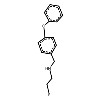 FCCNCc1ccc(Oc2ccccc2)cc1